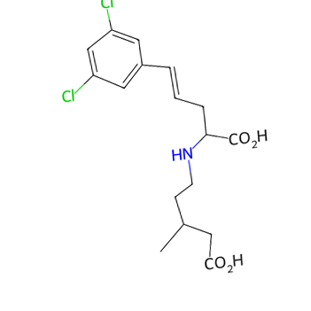 CC(CCNC(CC=Cc1cc(Cl)cc(Cl)c1)C(=O)O)CC(=O)O